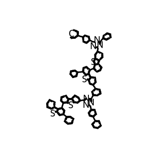 c1ccc(-c2ccc(-c3nc(-c4cccc(-c5ccc6c(c5)sc5c(-c7ccccc7)ccc(-c7cccc8c7sc7cc(-c9nc(-c%10ccccc%10)nc(-c%10ccc(-c%11ccccc%11)cc%10)n9)ccc78)c56)c4)nc(-c4ccc5c(c4)sc4c(-c6cc(-c7ccccc7)cc7sc8ccccc8c67)cccc45)n3)cc2)cc1